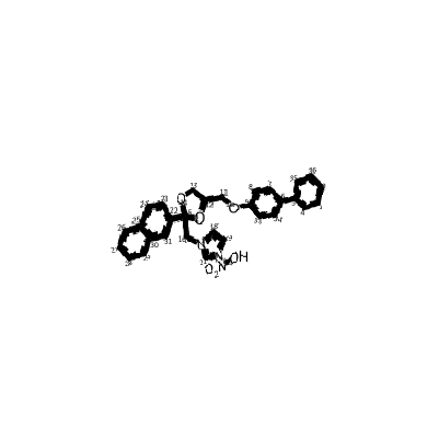 O=[N+]([O-])O.c1ccc(-c2ccc(OCC3COC(Cn4ccnc4)(c4ccc5ccccc5c4)O3)cc2)cc1